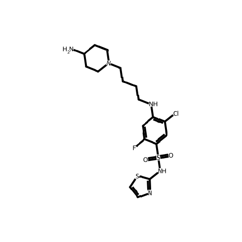 NC1CCN(CCCCNc2cc(F)c(S(=O)(=O)Nc3nccs3)cc2Cl)CC1